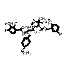 COc1ccc(C[C@H](NC(=O)c2ccc(F)c(O)c2C)[C@H](O)C(=O)N2CSC(C)(C)[C@H]2C(=O)NCc2cc(F)ccc2C)cc1